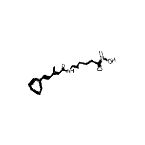 CC(/C=C/c1ccccc1)=C\C(=O)NCCCCCC(=O)NO